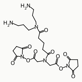 NCCCN(CCCN)C(=O)CCCC(=O)N(CC(=O)ON1C(=O)CCC1=O)CC(=O)ON1C(=O)CCC1=O